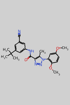 COc1ccc(OC)c(-n2nnc(C(=O)Nc3cc(C#N)cc(C(C)(C)C)c3)c2C)c1